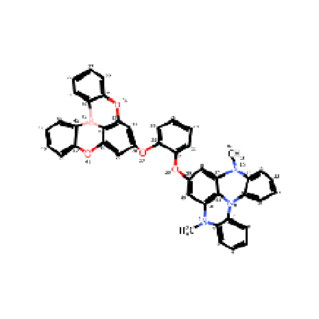 CN1c2ccccc2N2c3ccccc3N(C)c3cc(Oc4ccccc4Oc4cc5c6c(c4)Oc4ccccc4B6c4ccccc4O5)cc1c32